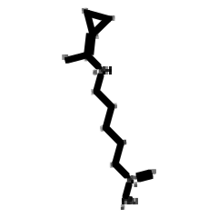 C=[N+](CCCC)CCCCCNC(C)=C1CC1